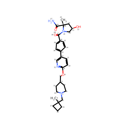 CC1(CN2CCC(COc3ccc(-c4ccc(C(=O)N5C[C@H](O)C[C@@]5(C)C(N)=O)cc4)cn3)CC2)CCC1